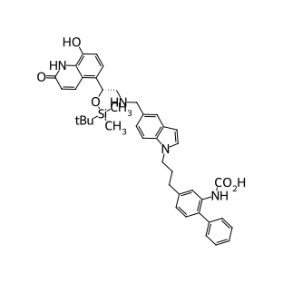 CC(C)(C)[Si](C)(C)O[C@@H](CNCc1ccc2c(ccn2CCCc2ccc(-c3ccccc3)c(NC(=O)O)c2)c1)c1ccc(O)c2[nH]c(=O)ccc12